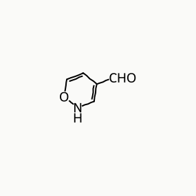 O=CC1=CNOC=C1